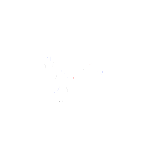 Cn1ccc(-c2cc3ncccc3c(OC[C@@H]3CNCCO3)n2)c1